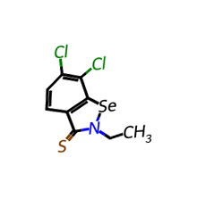 CCn1[se]c2c(Cl)c(Cl)ccc2c1=S